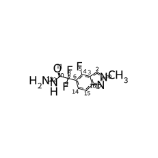 Cn1cc2c(F)c(C(F)(F)C(=O)NN)ccc2n1